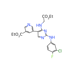 CCOC(=O)CNc1nc(Nc2ccc(F)c(Cl)c2)ncc1-c1cncc(C(=O)OCC)c1